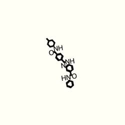 CC1CCC(NC(=O)c2ccc(-c3nc4cc(C(=O)Nc5ccccc5)ccc4[nH]3)cc2)CC1